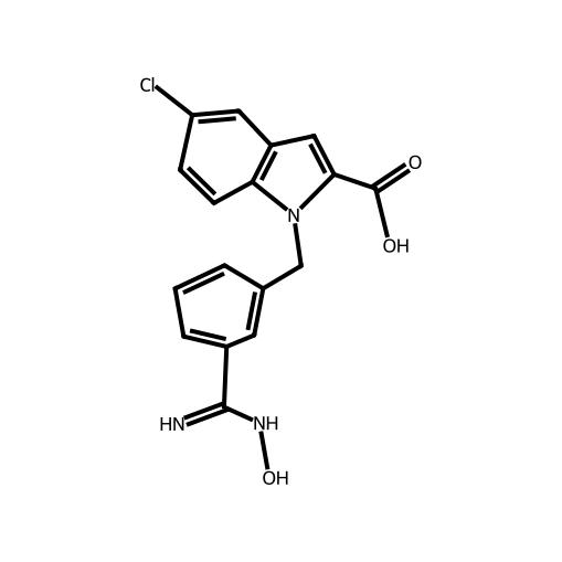 N=C(NO)c1cccc(Cn2c(C(=O)O)cc3cc(Cl)ccc32)c1